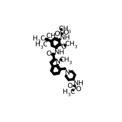 COc1c(NC(=O)c2cc3cccc(CN4CCC(NS(C)(=O)=O)CC4)c3n2C)cc(C(C)(C)C)cc1NS(C)(=O)=O